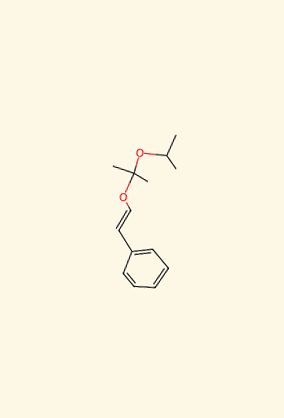 CC(C)OC(C)(C)OC=Cc1ccccc1